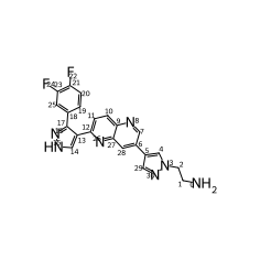 NCCn1cc(-c2cnc3ccc(-c4c[nH]nc4-c4ccc(F)c(F)c4)nc3c2)cn1